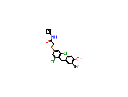 CC(C)c1cc(Cc2c(Cl)cc(SCC(=O)NC34CC(C3)C4)cc2Cl)ccc1O